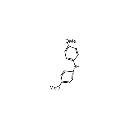 COc1ccc(Bc2ccc(OC)cc2)cc1